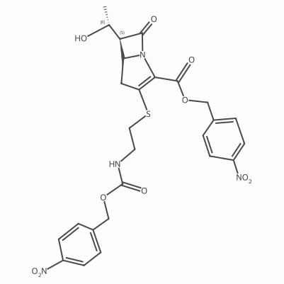 C[C@@H](O)[C@H]1C(=O)N2C(C(=O)OCc3ccc([N+](=O)[O-])cc3)=C(SCCNC(=O)OCc3ccc([N+](=O)[O-])cc3)CC12